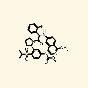 COC(=O)Nc1ccc(S(=O)(=O)C(C)C)c([C@H]2CCCN2C(=O)[C@@H](Nc2ccc3c(N)nccc3c2)c2ccccc2F)c1